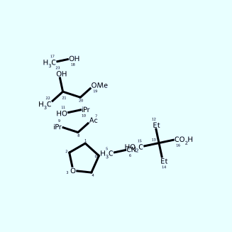 C1CCOC1.CC#N.CC(=O)CC(C)C.CC(C)O.CCC(CC)(C(=O)O)C(=O)O.CO.COCC(C)O